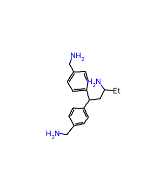 CCC(N)CC(c1ccc(CN)cc1)c1ccc(CN)cc1